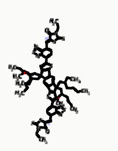 CCCCC(CC)CC1(CC(CC)CCCC)c2cc3c(cc2-c2sc(-c4ccc(/C=C5\SC(=S)N(CC)C5=O)c5nsnc45)cc21)C(CC(CC)CCCC)(CC(CC)CCCC)c1cc(-c2ccc(/C=C4\SC(=S)N(CC)C4=O)c4nsnc24)sc1-3